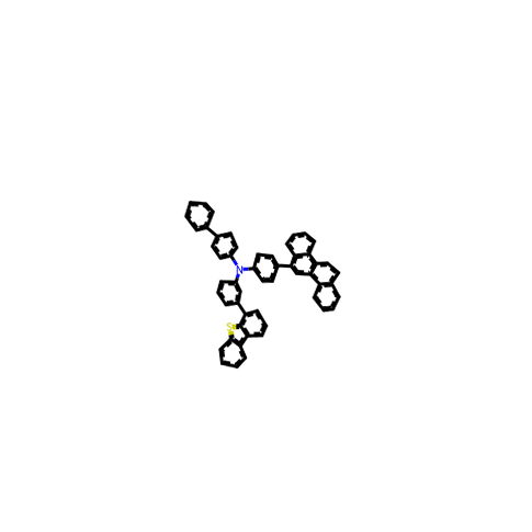 c1ccc(-c2ccc(N(c3ccc(-c4cc5c6ccccc6ccc5c5ccccc45)cc3)c3cccc(-c4cccc5c4sc4ccccc45)c3)cc2)cc1